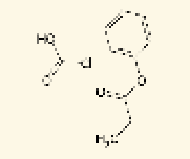 CCC(=O)Oc1ccccc1.O=C(O)Cl